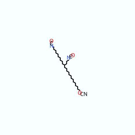 N#COCCCCCCCCCCCCCCC(CCCCCCCCCCN=C=O)CCCN=C=O